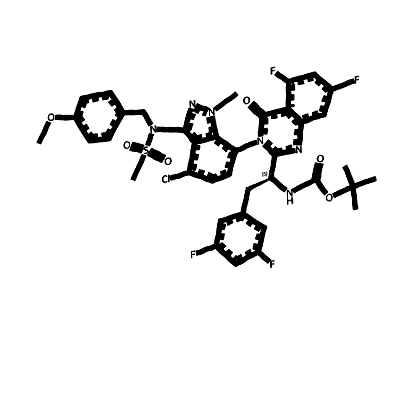 COc1ccc(CN(c2nn(C)c3c(-n4c([C@H](Cc5cc(F)cc(F)c5)NC(=O)OC(C)(C)C)nc5cc(F)cc(F)c5c4=O)ccc(Cl)c23)S(C)(=O)=O)cc1